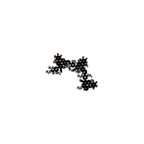 C=CC(=O)N1[C@H](C)CN(c2c(C#N)c(=O)n(-c3c(C)cc(/C=C\C(=O)N4[C@H](C)CN(c5c(C#N)c(=O)n(-c6c(C)cc(/C=C\C(=O)N7[C@H](C)CN(c8c(C#N)c(=O)n(-c9c(C)ccnc9C(C)C)c9nc(-c%10c(O)c(F)c(F)c(F)c%10F)c(Cl)cc89)C[C@@H]7C)nc6C(C)C)c6nc(-c7c(O)c(F)c(F)c(F)c7F)c(Cl)cc56)C[C@@H]4C)nc3C(C)C)c3nc(-c4c(O)c(F)c(F)c(F)c4F)c(Cl)cc23)C[C@@H]1C